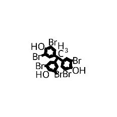 CC(c1cc(Br)c(O)c(Br)c1)(c1cc(Br)c(O)c(Br)c1)c1cc(Br)c(O)c(Br)c1